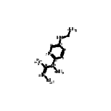 CCNc1ccc(N(N)/C(C)=N\N)nc1